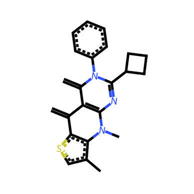 C=C1C2=C(N=C(C3CCC3)N(c3ccccc3)C2=C)N(C)c2c(C)csc21